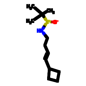 CC(C)(C)[S+]([O-])NCCC=CC1CCC1